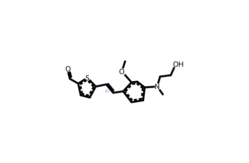 COc1cc(N(C)CCO)ccc1/C=C/c1ccc(C=O)s1